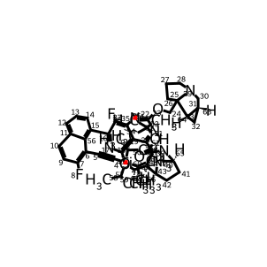 CC(C)[Si](C#Cc1c(F)ccc2cccc(-c3nc4c5c(nc(OCC67CCCN6C[C@@H]6C[C@@H]67)nc5c3F)C3N[C@H]5CC[C@@H]([C@H]3[C@H](C)O4)N5C(=O)OC(C)(C)C)c12)(C(C)C)C(C)C